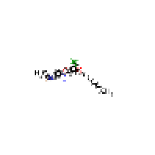 CCCCCCCCCCCCOc1cc(CC(=O)Nc2cccc(C[n+]3csc(C)c3)c2)ccc1Cl.[Br-]